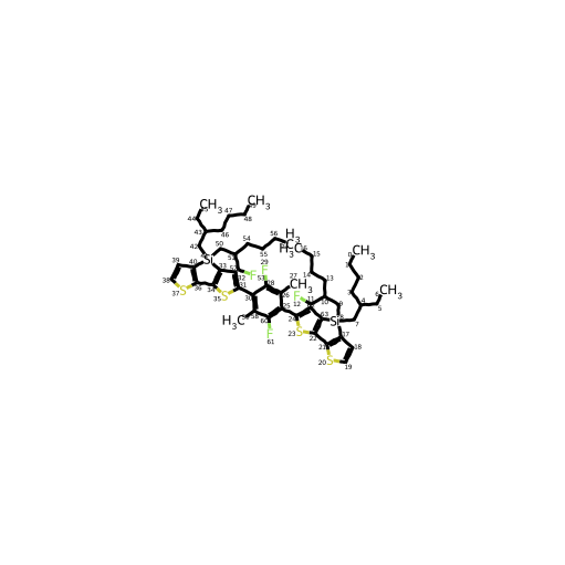 CCCCC(CC)C[Si]1(CC(CF)CCCC)c2ccsc2-c2sc(-c3c(C)c(F)c(-c4cc5c(s4)-c4sccc4[Si]5(CC(CC)CCCC)CC(CF)CCCC)c(C)c3F)cc21